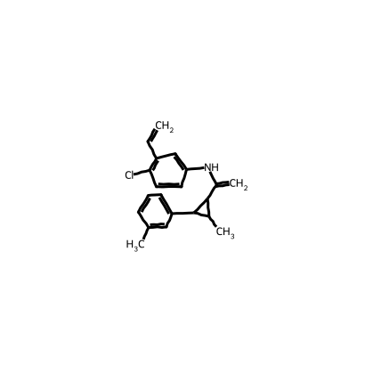 C=Cc1cc(NC(=C)C2C(C)C2c2cccc(C)c2)ccc1Cl